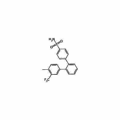 Cc1ccc(-c2ccccc2-c2ccc(S(N)(=O)=O)cc2)cc1C(F)(F)F